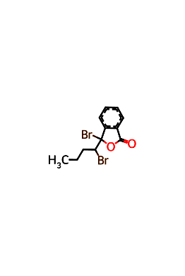 CCCC(Br)C1(Br)OC(=O)c2ccccc21